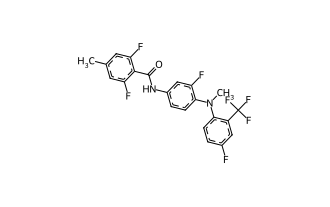 Cc1cc(F)c(C(=O)Nc2ccc(N(C)c3ccc(F)cc3C(F)(F)F)c(F)c2)c(F)c1